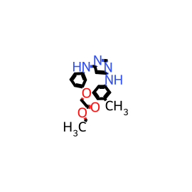 CCOC(=O)COc1cccc(Nc2cc(Nc3cccc(C)c3)ncn2)c1